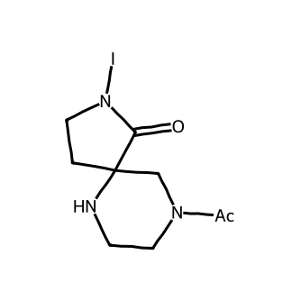 CC(=O)N1CCNC2(CCN(I)C2=O)C1